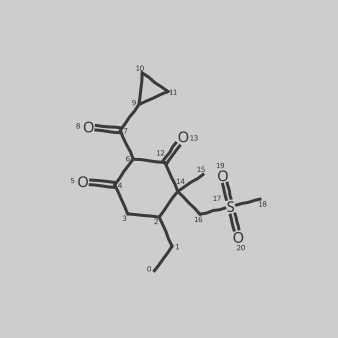 CCC1CC(=O)C(C(=O)C2CC2)C(=O)C1(C)CS(C)(=O)=O